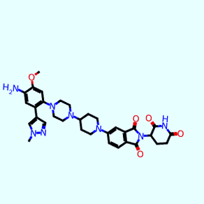 COc1cc(N2CCN(C3CCN(c4ccc5c(c4)C(=O)N(C4CCC(=O)NC4=O)C5=O)CC3)CC2)c(-c2cnn(C)c2)cc1N